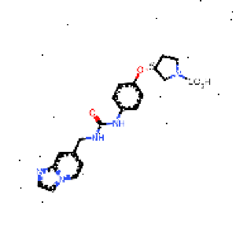 O=C(NCc1ccn2ccnc2c1)Nc1ccc(O[C@@H]2CCN(C(=O)O)C2)cc1